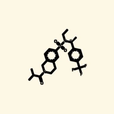 CCN([C@@H](C)c1ccc(C(F)(F)F)cc1)S(=O)(=O)c1ccc2c(c1)CCN(C(=O)C(C)C)C2